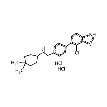 CC1(C)CCC(NCc2ccc(-c3ccc4[nH]cnc4c3Cl)cc2)CC1.Cl.Cl